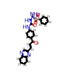 NN(NC(=O)Nc1ccc(C(=O)/C=C/c2cnc3ccccc3n2)cc1)S(=O)(=O)c1ccccc1